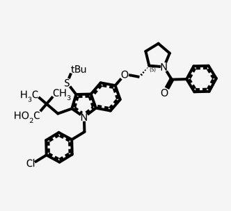 CC(C)(C)Sc1c(CC(C)(C)C(=O)O)n(Cc2ccc(Cl)cc2)c2ccc(OC[C@@H]3CCCN3C(=O)c3ccccc3)cc12